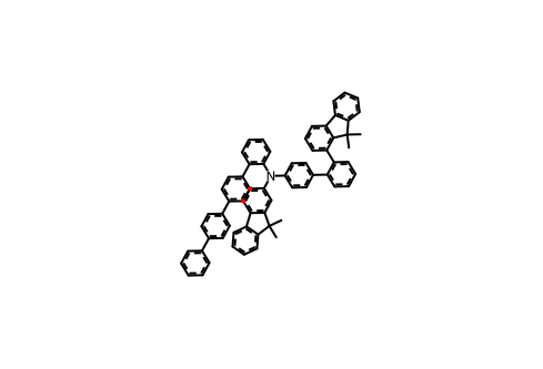 CC1(C)c2ccccc2-c2ccc(N(c3ccc(-c4ccccc4-c4cccc5c4C(C)(C)c4ccccc4-5)cc3)c3ccccc3-c3ccc(-c4ccc(-c5ccccc5)cc4)cc3)cc21